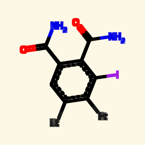 CCc1cc(C(N)=O)c(C(N)=O)c(I)c1CC